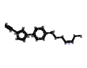 CC/C=C\CCOc1ccc(-c2ccc(C#N)s2)cc1